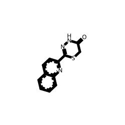 O=C1CSC(c2ccc3ccccc3n2)=NN1